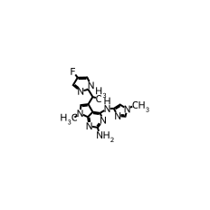 CC(c1ncc(F)cn1)c1cn(C)c2nc(N)nc(Nc3cn(C)cn3)c12